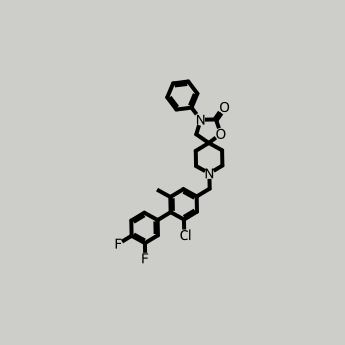 Cc1cc(CN2CCC3(CC2)CN(c2ccccc2)C(=O)O3)cc(Cl)c1-c1ccc(F)c(F)c1